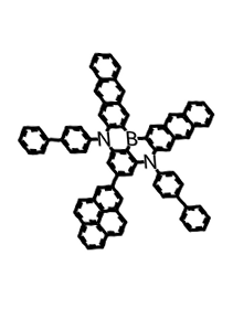 c1ccc(-c2ccc(N3c4cc5cc6ccccc6cc5cc4B4c5cc6cc7ccccc7cc6cc5N(c5ccc(-c6ccccc6)cc5)c5cc(-c6cc7ccc8cccc9ccc(c6)c7c89)cc3c54)cc2)cc1